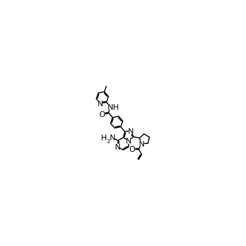 C=CC(=O)N1CCCC1c1nc(-c2ccc(C(=O)Nc3cc(C)ccn3)cc2)c2c(N)nccn12